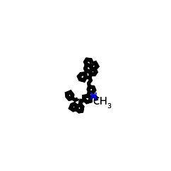 CCN1c2ccc([C@@H](CCc3ccccc3)c3cccc4ccccc34)cc2C2C=C(CCC(c3ccccc3)c3ccc4ccc5cccc6ccc3c4c56)C=CC21